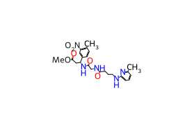 COC(=O)CC(NC(=O)CNC(=O)CCCNc1cccc(C)n1)c1ccc(C)c([N+](=O)[O-])c1